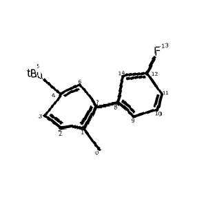 Cc1ccc(C(C)(C)C)cc1-c1cccc(F)c1